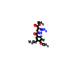 CCc1cc(C(=O)NC[C@@H](N)C(=O)OC)cc(F)c1OC